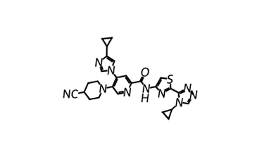 N#CC1CCN(c2cnc(C(=O)Nc3csc(-c4nncn4C4CC4)n3)cc2-n2cnc(C3CC3)c2)CC1